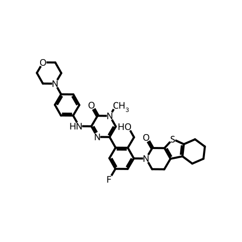 Cn1cc(-c2cc(F)cc(N3CCc4c(sc5c4CCCC5)C3=O)c2CO)nc(Nc2ccc(N3CCOCC3)cc2)c1=O